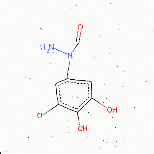 NN(C=O)c1cc(O)c(O)c(Cl)c1